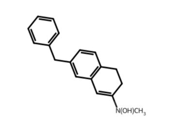 CN(O)C1=Cc2cc(Cc3ccccc3)ccc2CC1